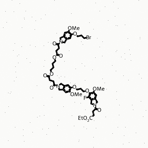 CCOC(=O)CCC(=O)N1Cc2cc(OC)c(OCCCOc3cc4c(cc3OC)CN(C(=O)CCC(=O)OCCCCOC(=O)CCC(=O)N3Cc5cc(OC)c(OCCCBr)cc5C3)C4)c(F)c2C1